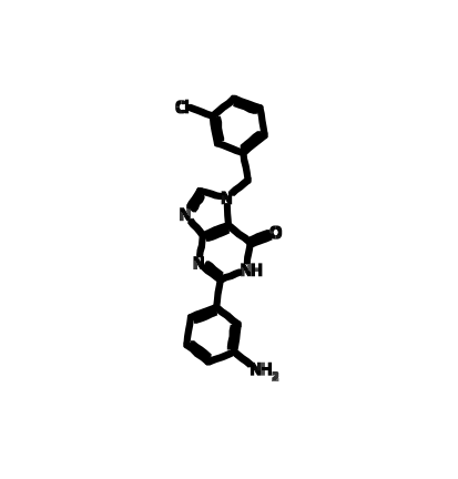 Nc1cccc(-c2nc3ncn(Cc4cccc(Cl)c4)c3c(=O)[nH]2)c1